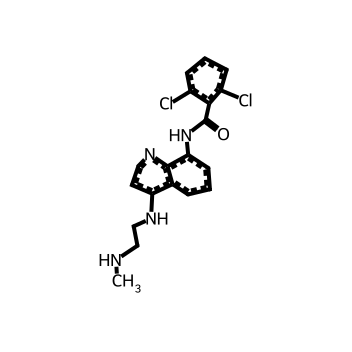 CNCCNc1ccnc2c(NC(=O)c3c(Cl)cccc3Cl)cccc12